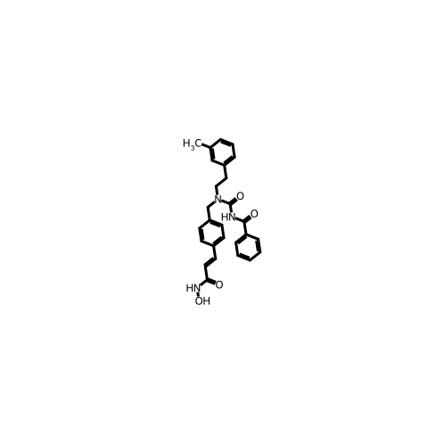 Cc1cccc(CCN(Cc2ccc(/C=C/C(=O)NO)cc2)C(=O)NC(=O)c2ccccc2)c1